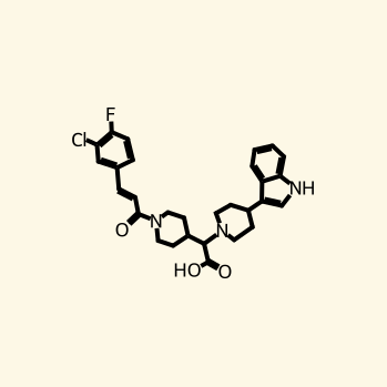 O=C(O)C(C1CCN(C(=O)C=Cc2ccc(F)c(Cl)c2)CC1)N1CCC(c2c[nH]c3ccccc23)CC1